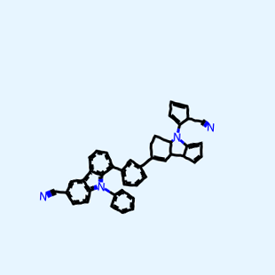 N#Cc1ccc2c(c1)c1cccc(-c3cccc(C4=CC5C6C=CC=C6N(C6=CC=CC6C#N)C5CC4)c3)c1n2-c1ccccc1